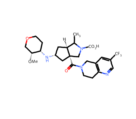 CO[C@@H]1COCC[C@@H]1N[C@@H]1C[C@H]2C(C)N(C(=O)O)C[C@@]2(C(=O)N2CCc3ncc(C(F)(F)F)cc3C2)C1